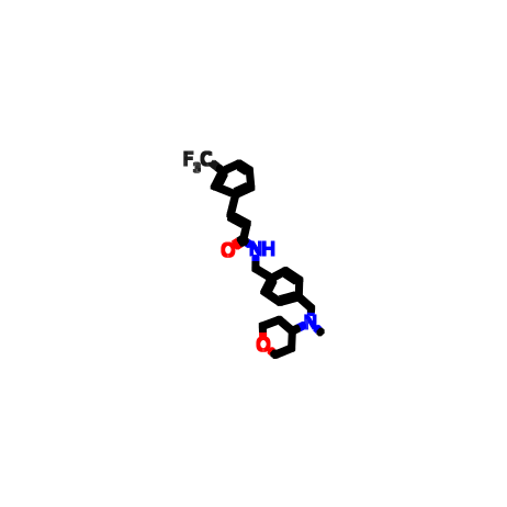 CN(Cc1ccc(CNC(=O)C=Cc2cccc(C(F)(F)F)c2)cc1)C1CCOCC1